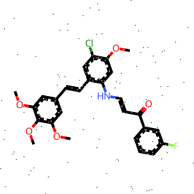 COc1cc(NC=CC(=O)c2cccc(F)c2)c(C=Cc2cc(OC)c(OC)c(OC)c2)cc1Cl